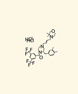 Cc1ccc(C[C@@H]2CN(C/C=C/CN3CCOCC3(C)C)CCN2C(=O)c2cc(C(F)(F)F)cc(C(F)(F)F)c2)cc1C.Cl.Cl